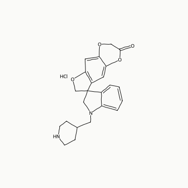 Cl.O=C1COc2cc3c(cc2O1)C1(CO3)CN(CC2CCNCC2)c2ccccc21